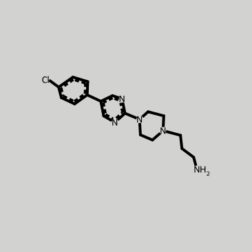 NCCCN1CCN(c2ncc(-c3ccc(Cl)cc3)cn2)CC1